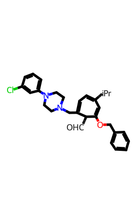 CC(C)C1=CC=C(CN2CCN(c3cccc(Cl)c3)CC2)C(C=O)C(OCc2ccccc2)=C1